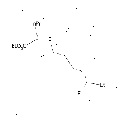 CCCC(SCCCCC(F)CC)C(=O)OCC